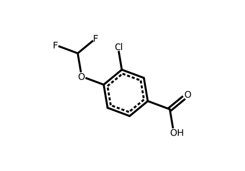 O=C(O)c1ccc(OC(F)F)c(Cl)c1